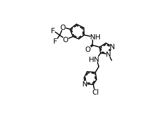 Cn1ncc(C(=O)Nc2ccc3c(c2)OC(F)(F)O3)c1NCc1ccnc(Cl)c1